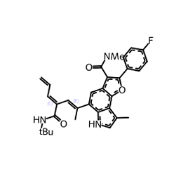 C=C/C=C(\C=C(/C)c1cc2c(C(=O)NC)c(-c3ccc(F)cc3)oc2c2c(C)c[nH]c12)C(=O)NC(C)(C)C